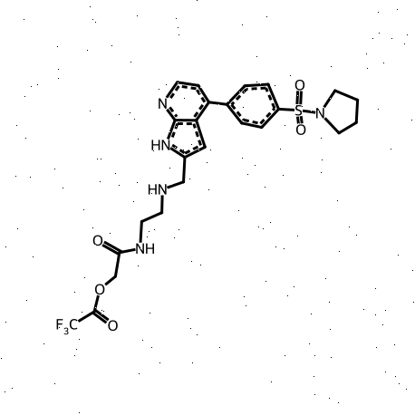 O=C(COC(=O)C(F)(F)F)NCCNCc1cc2c(-c3ccc(S(=O)(=O)N4CCCC4)cc3)ccnc2[nH]1